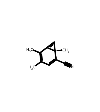 CC1=C(C)C2=C[C@]2(C)C(C#N)=C1